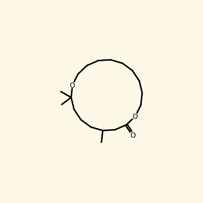 CC1CCCC(C)(C)OCCCCCCCCCOC(=O)C1